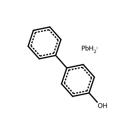 Oc1ccc(-c2ccccc2)cc1.[PbH2]